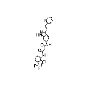 O=C(CC(=O)Nc1cccc(C(F)(F)F)c1Cl)Nc1ccc2c(C=Cc3ccccn3)n[nH]c2c1